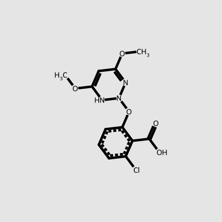 COC1=CC(OC)=NN(Oc2cccc(Cl)c2C(=O)O)N1